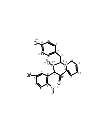 COc1ccc(Br)cc1C1C(=O)C2=CC=CCN2C(Cc2ccc(Cl)nc2)N1O